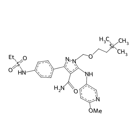 CCS(=O)(=O)Nc1ccc(-c2nn(COCC[Si](C)(C)C)c(Nc3ccc(OC)nc3)c2C(N)=O)cc1